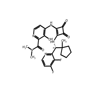 CN(C)C(=O)c1nccc(Nc2c(N[C@@H](c3nccc(F)c3F)C3(C)CCCC3)c(=O)c2=O)c1O